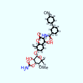 CO[C@@H]1[C@@H](OC(N)=O)[C@@H](O)[C@H](Oc2ccc3c(O)c(NC(=O)c4cccc(-c5ccc(N=O)cc5)c4)c(=O)oc3c2C)OC1(C)C